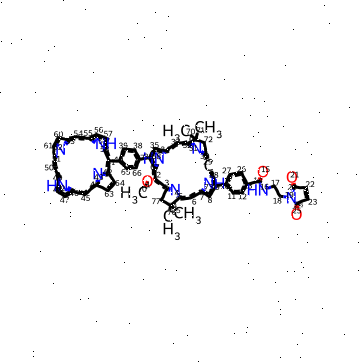 COc1c2nc(cc3cc(-c4ccc(C(=O)NCCN5C(=O)C=CC5=O)cc4)c(cc4nc(cc5cc(-c6ccc(-c7c8nc(cc9ccc(cc%10nc(cc%11ccc7[nH]%11)C=C%10)[nH]9)C=C8)cc6)c1[nH]5)C(C)(C)C4)[nH]3)C(C)(C)C2